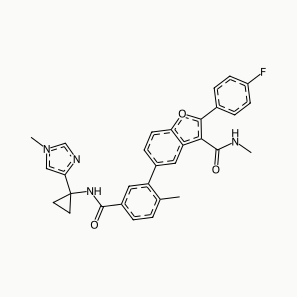 CNC(=O)c1c(-c2ccc(F)cc2)oc2ccc(-c3cc(C(=O)NC4(c5cn(C)cn5)CC4)ccc3C)cc12